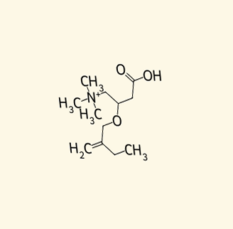 C=C(CC)COC(CC(=O)O)C[N+](C)(C)C